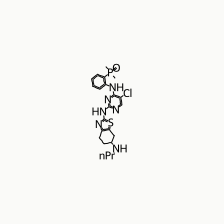 CCCNC1CCc2nc(Nc3ncc(Cl)c(Nc4ccccc4P(C)(C)=O)n3)sc2C1